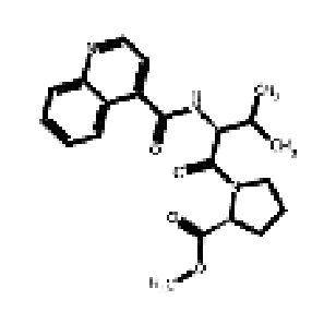 COC(=O)[C@@H]1CCCN1C(=O)[C@@H](NC(=O)c1ccnc2ccccc12)C(C)C